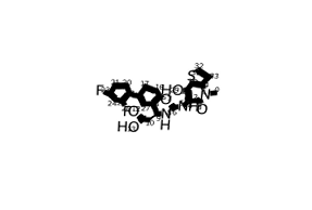 Cn1c(=O)c(NC(=O)N[C@@H](CC(=O)O)c2cccc(-c3ccc(F)cc3F)c2)c(O)c2sccc21